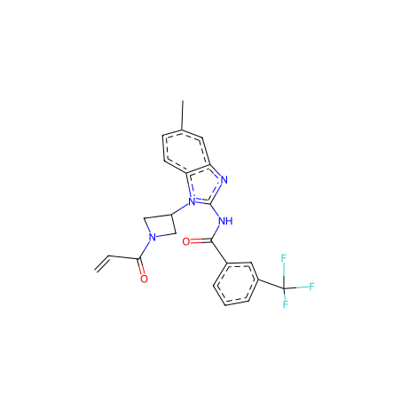 C=CC(=O)N1CC(n2c(NC(=O)c3cccc(C(F)(F)F)c3)nc3cc(C)ccc32)C1